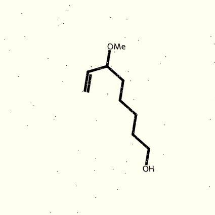 C=CC(CCCCCO)OC